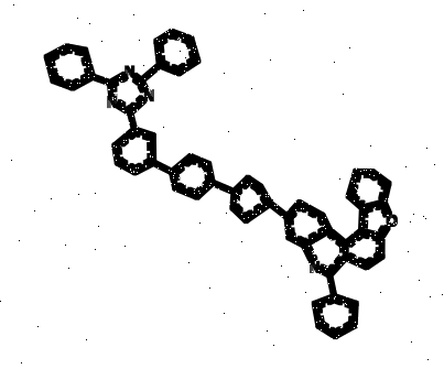 c1ccc(-c2nc(-c3ccccc3)nc(-c3cccc(-c4ccc(-c5ccc(-c6ccc7c(c6)nc(-c6ccccc6)c6ccc8oc9ccccc9c8c67)cc5)cc4)c3)n2)cc1